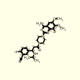 COc1cc2c(N)nc(N3CCN(C(=O)CC(NC(C)C)c4ccc(F)c(C#N)c4)CC3)nc2c(F)c1OC